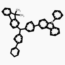 CC1(C)c2ccccc2-c2ccc(C(c3ccc(C4=CCCC=C4)cc3)c3ccc(-c4ccc5c(c4)c4ccccc4n5-c4ccccc4)cc3)cc21